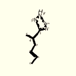 CC=CCC(C)c1nn[nH]n1